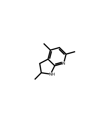 Cc1cc(C)c2c(n1)NC(C)C2